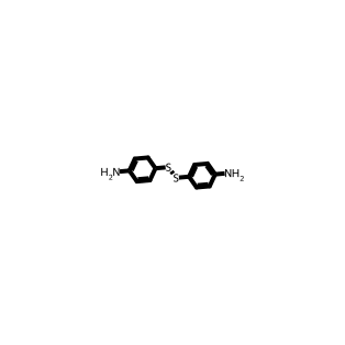 NC1=CCC(SSc2ccc(N)cc2)C=C1